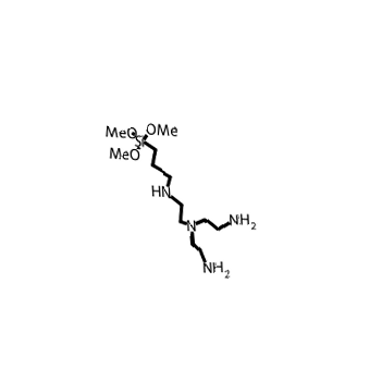 CO[Si](CCCNCCN(CCN)CCN)(OC)OC